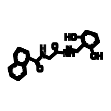 O=C(CNC(=O)c1cccc2ccccc12)NN=Cc1c(O)cccc1O